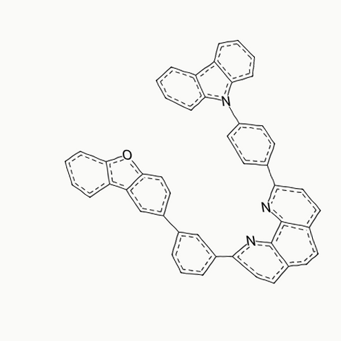 c1cc(-c2ccc3oc4ccccc4c3c2)cc(-c2ccc3ccc4ccc(-c5ccc(-n6c7ccccc7c7ccccc76)cc5)nc4c3n2)c1